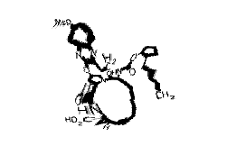 C=CCCC[C@@H]1CCC[C@H]1OC(=O)N[C@H]1CCCCC/C=C\[C@@H]2C[C@@]2(C(=O)O)NC(=O)[C@@H]2C[C@@H](Oc3nc4cc(OC)ccc4nc3C=C)CN2C1=O